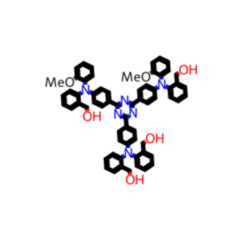 COc1ccccc1N(c1ccc(-c2nc(-c3ccc(N(c4ccccc4CO)c4ccccc4CO)cc3)nc(-c3ccc(N(c4ccccc4CO)c4ccccc4OC)cc3)n2)cc1)c1ccccc1CO